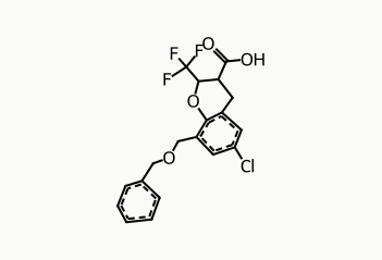 O=C(O)C1Cc2cc(Cl)cc(COCc3ccccc3)c2OC1C(F)(F)F